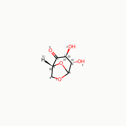 O=C1[C@@H](O)[C@H](O)C2OC[C@H]1O2